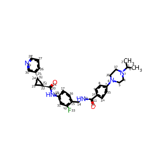 CC(C)N1CCN(c2ccc(C(=O)NCc3ccc(NC(=O)[C@H]4C[C@@H]4c4cccnc4)cc3F)cc2)CC1